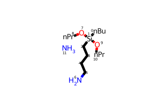 CCCC[Si](CCCCN)(OCCC)OCCC.N